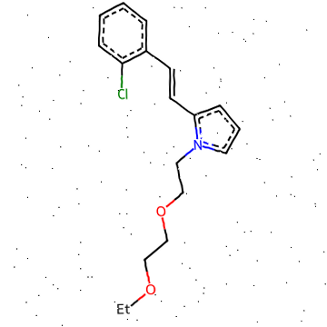 CCOCCOCCn1cccc1C=Cc1ccccc1Cl